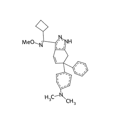 CON=C(c1n[nH]c2c1C=CC(c1ccccc1)(c1ccc(N(C)C)cc1)C2)C1CCC1